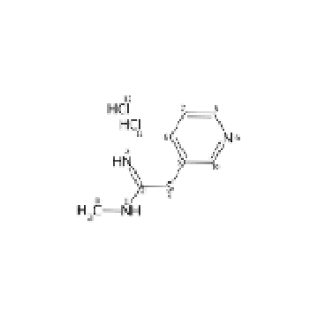 CNC(=N)Sc1cccnc1.Cl.Cl